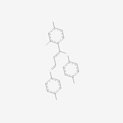 Cc1ccc(N=CC=C(Sc2ccc(C)cc2)c2ccc(F)cc2F)cc1